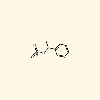 C[C](O[SH](=O)=O)c1cccnc1